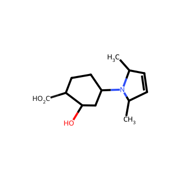 CC1C=CC(C)N1C1CCC(C(=O)O)C(O)C1